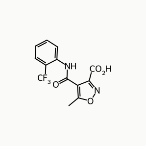 Cc1onc(C(=O)O)c1C(=O)Nc1ccccc1C(F)(F)F